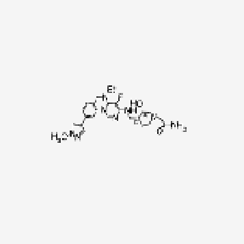 CCN(Cc1ccc(-c2cnn(C)c2)cc1)c1ncnc(NC[C@@H]2CCN(CC(N)=O)C[C@H]2O)c1F